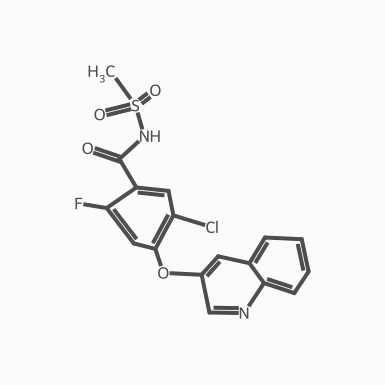 CS(=O)(=O)NC(=O)c1cc(Cl)c(Oc2cnc3ccccc3c2)cc1F